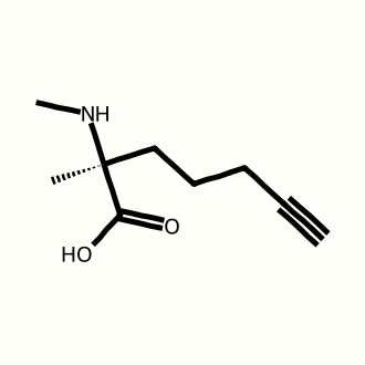 C#CCCC[C@](C)(NC)C(=O)O